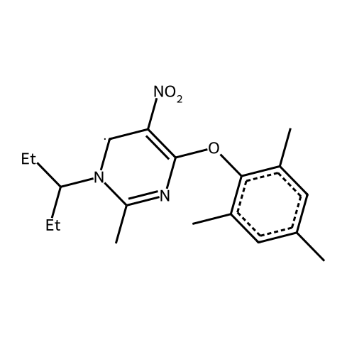 CCC(CC)N1[CH]C([N+](=O)[O-])=C(Oc2c(C)cc(C)cc2C)N=C1C